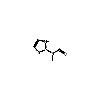 CN([C]=O)N1NC=CS1